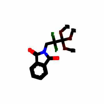 CCSC(SCC)(SCC)C(F)(F)CN1C(=O)c2ccccc2C1=O